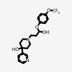 OC(CCN1CCC(O)(c2cccnc2)CC1)Oc1ccc(OC(F)(F)F)cc1